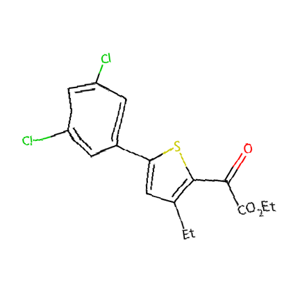 CCOC(=O)C(=O)c1sc(-c2cc(Cl)cc(Cl)c2)cc1CC